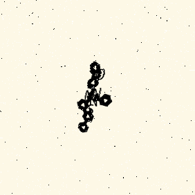 c1ccc(-c2ccc3sc4c(-c5nc(-c6ccccc6)nc(-c6ccc7c(c6)oc6ccccc67)n5)cccc4c3c2)cc1